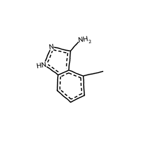 Cc1cccc2[nH]nc(N)c12